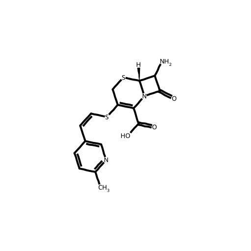 Cc1ccc(/C=C\SC2=C(C(=O)O)N3C(=O)C(N)[C@H]3SC2)cn1